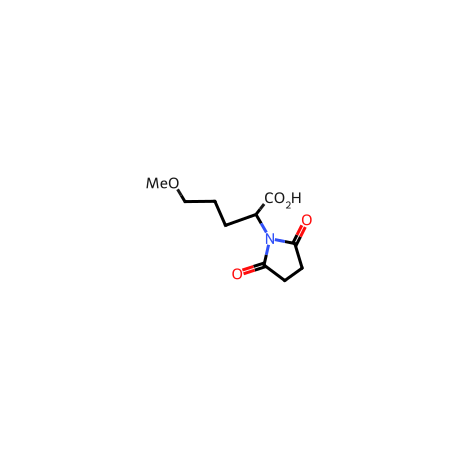 COCCCC(C(=O)O)N1C(=O)CCC1=O